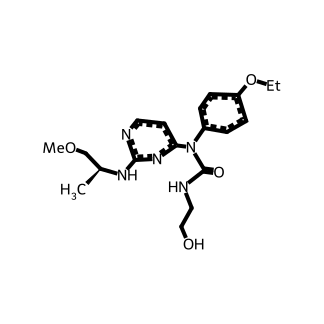 CCOc1ccc(N(C(=O)NCCO)c2ccnc(N[C@@H](C)COC)n2)cc1